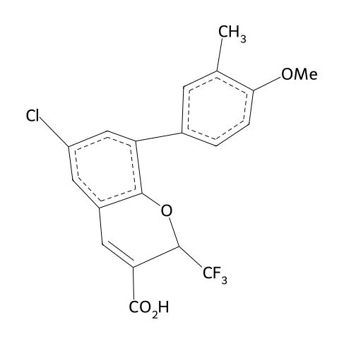 COc1ccc(-c2cc(Cl)cc3c2OC(C(F)(F)F)C(C(=O)O)=C3)cc1C